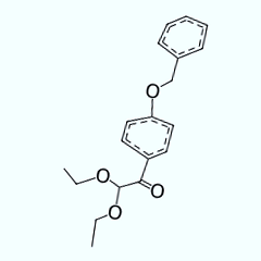 CCOC(OCC)C(=O)c1ccc(OCc2ccccc2)cc1